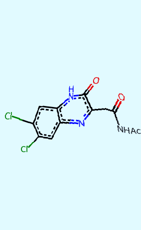 CC(=O)NC(=O)c1nc2cc(Cl)c(Cl)cc2[nH]c1=O